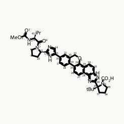 COC(=O)N[C@H](C(=O)N1CCC[C@@H]1c1ncc(-c2ccc3c(c2)COc2c-3ccc3c2ccc2[nH]c([C@@]4(C(C)(C)C)CCCN4C(=O)O)nc23)[nH]1)C(C)C